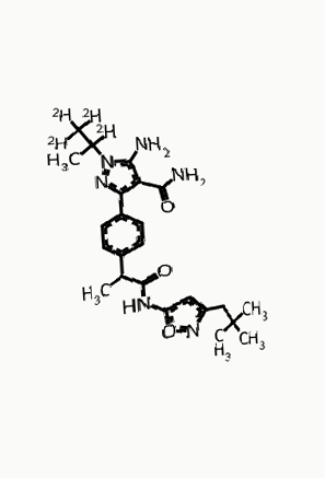 [2H]C([2H])([2H])C([2H])(C)n1nc(-c2ccc(C(C)C(=O)Nc3cc(CC(C)(C)C)no3)cc2)c(C(N)=O)c1N